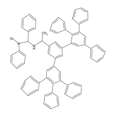 CCN(c1ccccc1)C(NC(C)c1cc(-c2cc(-c3ccccc3)c(-c3ccccc3)c(-c3ccccc3)c2)cc(-c2cc(-c3ccccc3)cc(-c3ccccc3)c2-c2ccccc2)c1)c1ccccc1